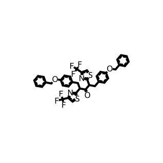 O=C(C(Cc1ccc(OCc2ccccc2)cc1)c1nc(C(F)(F)F)cs1)C(Cc1ccc(OCc2ccccc2)cc1)c1nc(C(F)(F)F)cs1